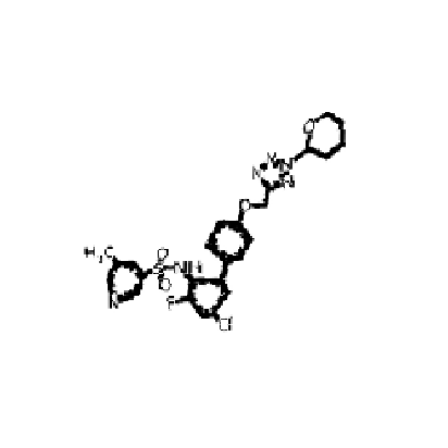 Cc1cncc(S(=O)(=O)Nc2c(F)cc(Cl)cc2-c2ccc(OCc3nnn(C4CCCCO4)n3)cc2)c1